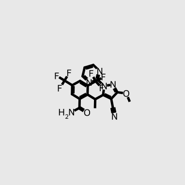 COc1nn(-c2ncccn2)c(C(C)c2c(C(N)=O)cc(C(F)(F)F)cc2C(F)(F)F)c1C#N